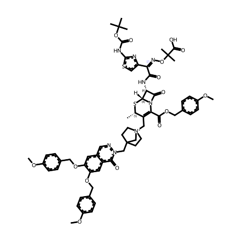 COc1ccc(COC(=O)C2=C(C[N+]34CCC(Cn5ncc6cc(OCc7ccc(OC)cc7)c(OCc7ccc(OC)cc7)cc6c5=O)(CC3)C4)[C@H](C)S[C@@H]3[C@H](NC(=O)/C(=N\OC(C)(C)C(=O)O)c4csc(NC(=O)OC(C)(C)C)n4)C(=O)N23)cc1